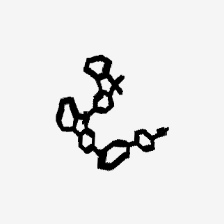 CC1(C)c2ccccc2-c2cc(-n3c4ccccc4c4ccc(-c5cccc(-c6ccc(Br)cc6)c5)cc43)ccc21